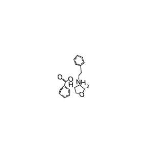 C1CCOC1.NCCc1ccccc1.O=C(O)c1ccccc1